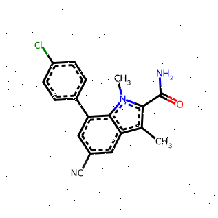 Cc1c(C(N)=O)n(C)c2c(-c3ccc(Cl)cc3)cc(C#N)cc12